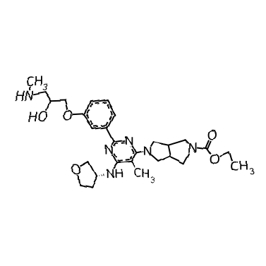 CCOC(=O)N1CC2CN(c3nc(-c4cccc(OCC(O)CNC)c4)nc(N[C@@H]4CCOC4)c3C)CC2C1